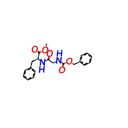 COC(=O)[C@H](Cc1ccccc1)NC(=O)CNC(=O)OCc1ccccc1